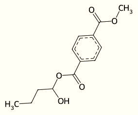 CCCC(O)OC(=O)c1ccc(C(=O)OC)cc1